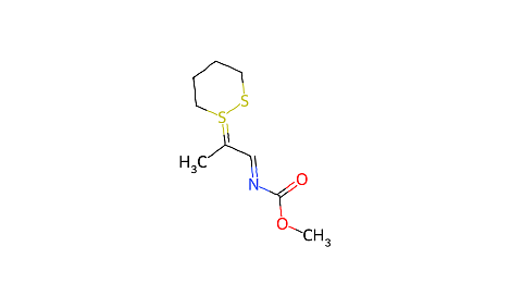 COC(=O)N=CC(C)=S1CCCCS1